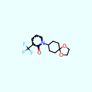 O=c1c(C(F)(F)F)cccn1C1CCC2(CC1)OCCO2